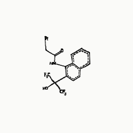 CC(C)CC(=O)Nc1c(C(O)(C(F)(F)F)C(F)(F)F)ccc2ccccc12